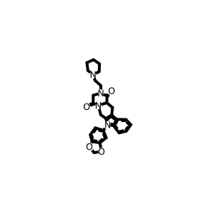 O=C1C2Cc3c(n(-c4ccc5c(c4)OCO5)c4ccccc34)CN2C(=O)CN1CCN1CCCCC1